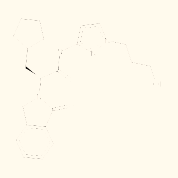 O=C(Nc1ccn(CCCO)n1)[C@H](CC1CCCC1)N1Cc2ccccc2C1=O